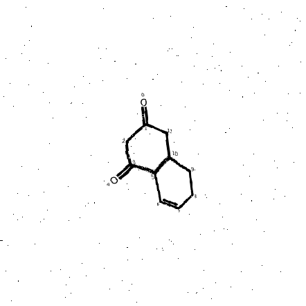 O=C1CC(=O)C2C=CCCC2C1